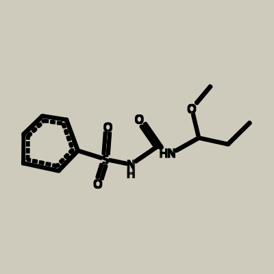 CCC(NC(=O)NS(=O)(=O)c1ccccc1)OC